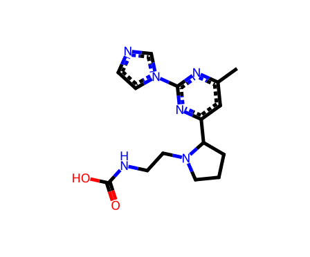 Cc1cc(C2CCCN2CCNC(=O)O)nc(-n2ccnc2)n1